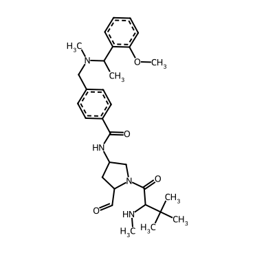 CNC(C(=O)N1CC(NC(=O)c2ccc(CN(C)C(C)c3ccccc3OC)cc2)CC1C=O)C(C)(C)C